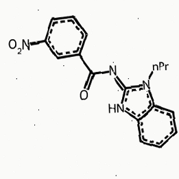 CCCn1/c(=N/C(=O)c2cccc([N+](=O)[O-])c2)[nH]c2ccccc21